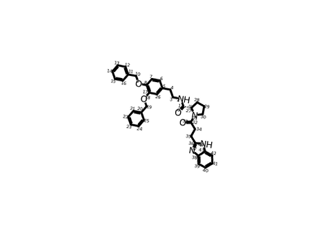 O=C(NCCc1ccc(OCc2ccccc2)c(OCc2ccccc2)c1)[C@@H]1CCCN1C(=O)CCc1nc2ccccc2[nH]1